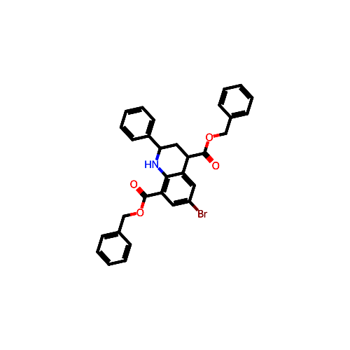 O=C(OCc1ccccc1)c1cc(Br)cc2c1NC(c1ccccc1)CC2C(=O)OCc1ccccc1